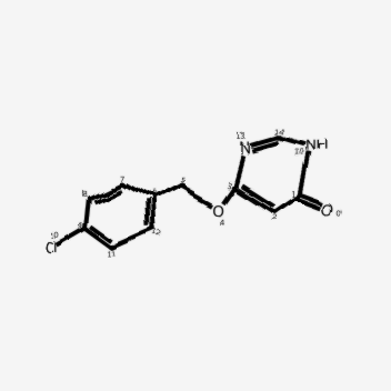 O=c1cc(OCc2ccc(Cl)cc2)nc[nH]1